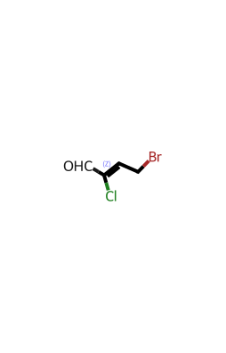 O=C/C(Cl)=C/CBr